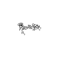 C#C[C@H]1CN(c2cnc(C(=O)NC(C)(C)C)cn2)CCN1[C@@H](C)c1nc2c(cc1F)OCCO2